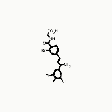 Cc1c(Cl)cc(C(/C=C/c2ccc(C(=O)NCC(=O)O)c(Br)c2)C(F)(F)F)cc1Cl